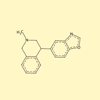 CN1Cc2ccccc2C(c2ccc3ocnc3c2)C1